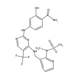 CN(c1ncccc1CNc1nc(Nc2ccc(C(N)=O)c(O)c2)ncc1C(F)(F)F)S(C)(=O)=O